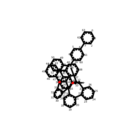 c1ccc(-c2ccc(N(c3ccc4c(c3)C3(c5ccccc5-c5ccccc5-4)c4ccccc4-c4c3c3ccccc3c3ccccc43)c3ccccc3-c3ccccc3)cc2)cc1